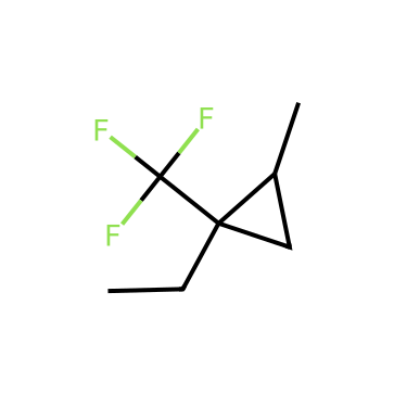 CCC1(C(F)(F)F)CC1C